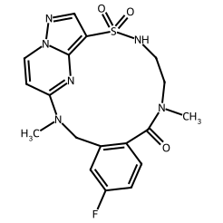 CN1CCNS(=O)(=O)c2cnn3ccc(nc23)N(C)Cc2cc(F)ccc2C1=O